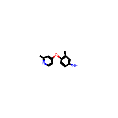 Cc1cc(Oc2ccc([NH])cc2C)ccn1